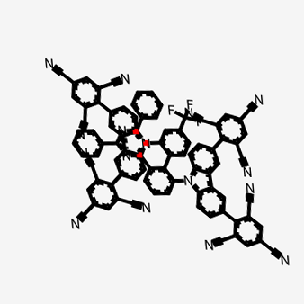 N#Cc1cc(C#N)c(-c2ccc3c(c2)c2cc(-c4c(C#N)cc(C#N)cc4C#N)ccc2n3-c2cc(C(F)(F)F)ccc2-c2c(-c3nc(-c4ccccc4)nc(-c4ccccc4)n3)cccc2-n2c3ccc(-c4c(C#N)cc(C#N)cc4C#N)cc3c3cc(-c4c(C#N)cc(C#N)cc4C#N)ccc32)c(C#N)c1